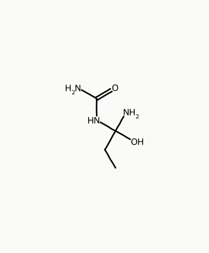 CCC(N)(O)NC(N)=O